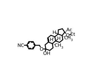 CCO[C@]1(C(C)=O)CC[C@H]2[C@@H]3CC=C4CC(O)(OCc5ccc(C#N)cc5)CC[C@]4(C)[C@H]3CC[C@@]21C